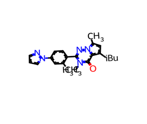 CCC(C)c1cc(C)n2nc(-c3ccc(-n4cccn4)cc3C)n(C)c(=O)c12